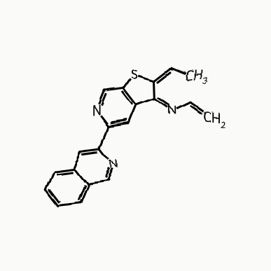 C=C/N=C1\C(=C/C)Sc2cnc(-c3cc4ccccc4cn3)cc21